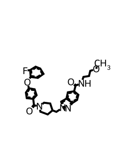 COCCCNC(=O)c1ccc2nn(CC3CCN(C(=O)c4ccc(Oc5ccccc5F)cc4)CC3)cc2c1